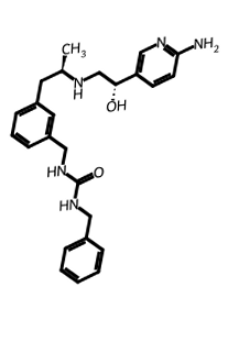 C[C@H](Cc1cccc(CNC(=O)NCc2ccccc2)c1)NC[C@@H](O)c1ccc(N)nc1